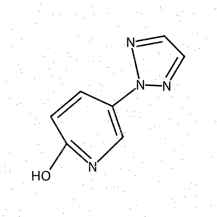 Oc1ccc(-n2nccn2)cn1